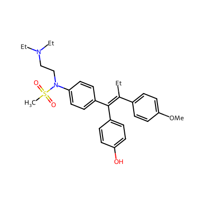 CCC(=C(c1ccc(O)cc1)c1ccc(N(CCN(CC)CC)S(C)(=O)=O)cc1)c1ccc(OC)cc1